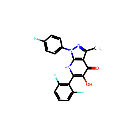 Cc1nn(-c2ccc(F)cc2)c2[nH]c(-c3c(F)cccc3F)c(O)c(=O)c12